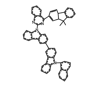 CC1(C)c2ccccc2C2C=CC(c3nc(-n4c5ccccc5c5cc(-c6ccc7c(c6)c6ccccc6n7-c6cccc7ccccc67)ccc54)nc4ccccc34)=CC21